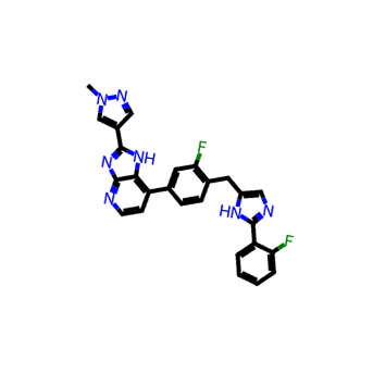 Cn1cc(-c2nc3nccc(-c4ccc(Cc5cnc(-c6ccccc6F)[nH]5)c(F)c4)c3[nH]2)cn1